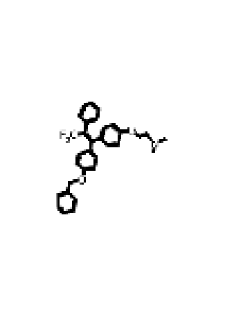 CN(C)CCOc1ccc(/C(=C(\c2ccccc2)C(F)(F)F)c2ccc(OCc3ccccc3)cc2)cc1